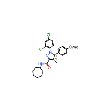 COc1ccc([C@H]2[C@@H](C)C(C(=O)NC3CCCCCC3)=NN2c2ccc(Cl)cc2Cl)cc1